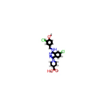 COc1ccc(CNc2nnc(N3CCC(C(=O)O)CC3)c3ccc(Cl)cc23)cc1Cl